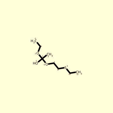 CCOC(C)(O)OCCSCC